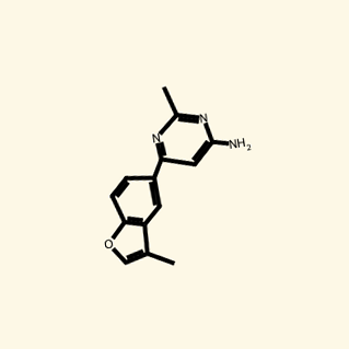 Cc1nc(N)cc(-c2ccc3occ(C)c3c2)n1